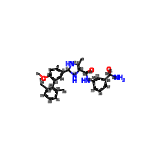 COc1ccc(C2NC(C)=C(C(=O)Nc3cccc(C(N)=O)c3)N2)cc1-c1c(C)cccc1C